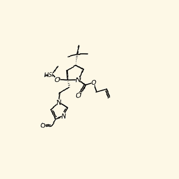 C=CCOC(=O)N1C[C@@H](C(C)(C)C)C[C@]1(CCn1cnc(C=O)c1)O[SiH](C)C